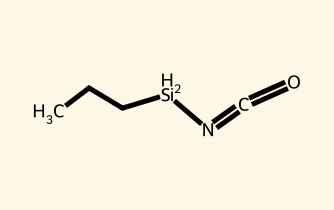 CCC[SiH2]N=C=O